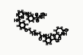 CC(C)(C)NS(=O)(=O)c1cccc(Nc2ccnc(Nc3ccc(OCCCNCC(=O)Nc4cccc5c4CN([C@H]4CCCC(=O)NC4=O)C5=O)cc3)n2)c1